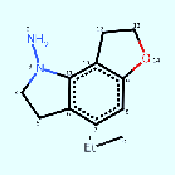 CCC.NN1CCc2ccc3c(c21)CCO3